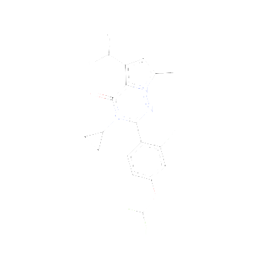 Cc1cc(C(C)C)c2c(=O)n(C3CC3)c(-c3ccc(OC(F)F)cc3Cl)nn12